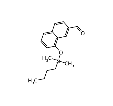 CCCC[Si](C)(C)Oc1cccc2ccc(C=O)cc12